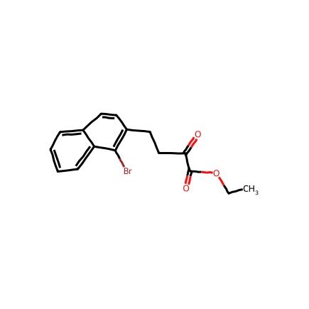 CCOC(=O)C(=O)CCc1ccc2ccccc2c1Br